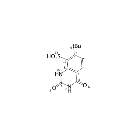 CC(C)(C)c1ccc2c(=O)[nH]c(=O)[nH]c2c1S(=O)(=O)O